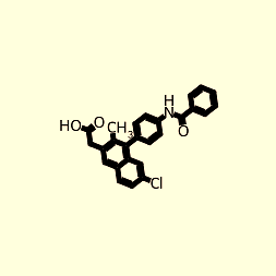 Cc1c(CC(=O)O)cc2ccc(Cl)cc2c1-c1ccc(NC(=O)c2ccccc2)cc1